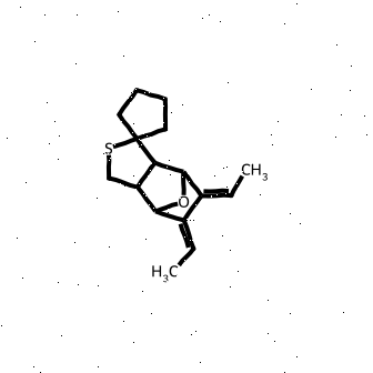 CC=C1C(=CC)C2OC1C1CSC3(CCCC3)C21